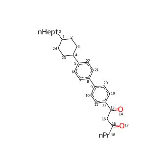 CCCCCCCC1CCC(c2ccc(-c3ccc(C(=O)CC(=O)CCC)cc3)cc2)CC1